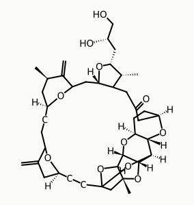 C=C1C[C@@H]2CCC34C[C@@]5(C)O[C@H]6[C@@H](O3)[C@H]3O[C@H](CC[C@@H]3O[C@H]6[C@H]5O4)CC(=O)CC3[C@H](CC4O[C@@H](CCC1O2)C[C@@H](C)C4=C)O[C@H](C[C@H](O)CO)[C@@H]3C